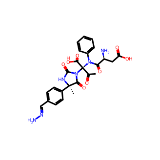 CC(=O)[C@@](C(=O)O)(N1C(=O)N[C@](C)(c2ccc(C=NN)cc2)C1=O)N(C(=O)[C@@H](N)CC(=O)O)c1ccccc1